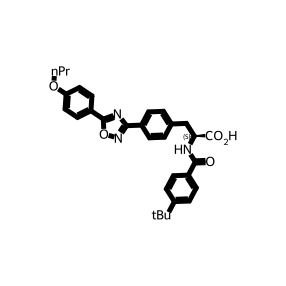 CCCOc1ccc(-c2nc(-c3ccc(C[C@H](NC(=O)c4ccc(C(C)(C)C)cc4)C(=O)O)cc3)no2)cc1